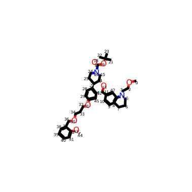 COCCN1CCCc2ccc(CO[C@H]3CN(C(=O)OC(C)(C)C)CC[C@@H]3c3ccc(OCCCOCc4ccccc4OC)cc3)cc21